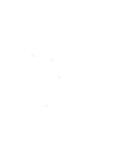 Cc1ccc(CNc2ccccc2NC(Cc2ccc(C)cc2)C(=O)N2CC(C(=O)O)C2)cc1